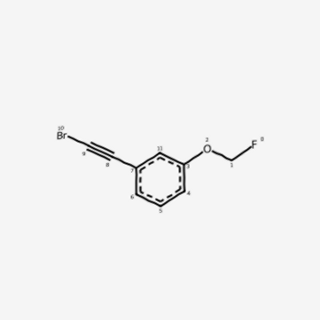 FCOc1cccc(C#CBr)c1